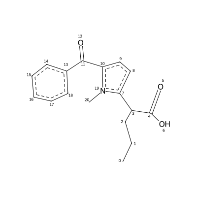 CCCC(C(=O)O)c1ccc(C(=O)c2ccccc2)n1C